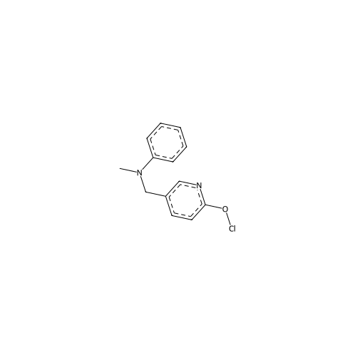 CN(Cc1ccc(OCl)nc1)c1ccccc1